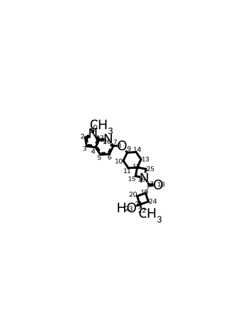 Cn1ccc2ccc(OC3CCC4(CC3)CN(C(=O)[C@H]3C[C@@](C)(O)C3)C4)nc21